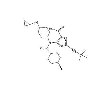 CC(C)(C)C#Cc1cc(N(C(=O)[C@H]2CC[C@H](C)CC2)C2CCC(OC3CC3)CC2)c(C(=O)O)s1